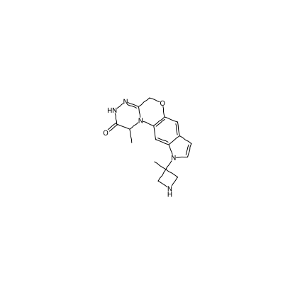 CC1C(=O)NN=C2COc3cc4ccn(C5(C)CNC5)c4cc3N21